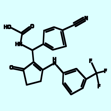 N#Cc1ccc(C(NC(=O)O)C2=C(Nc3cccc(C(F)(F)F)c3)CCC2=O)cc1